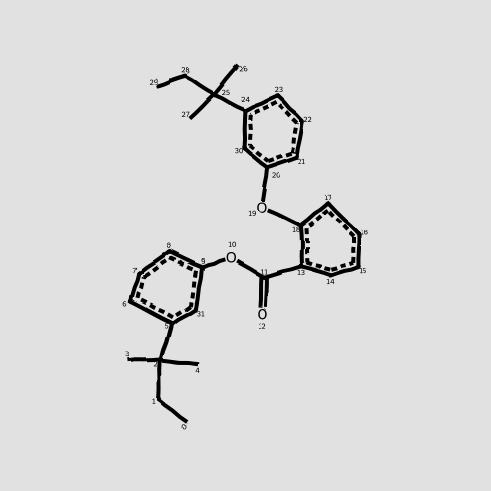 CCC(C)(C)c1cccc(OC(=O)c2ccccc2Oc2cccc(C(C)(C)CC)c2)c1